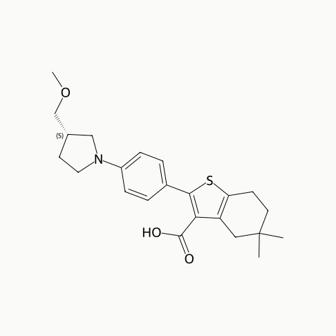 COC[C@H]1CCN(c2ccc(-c3sc4c(c3C(=O)O)CC(C)(C)CC4)cc2)C1